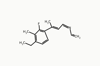 C=C/N=C\C=C(/C)c1ccc(CC)c(C)c1F